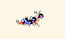 Cc1cc(F)nc(COc2cc(C)n(-c3cc(-c4ccnc(C(C)(C)O)n4)ncc3C)c(=O)c2Br)c1